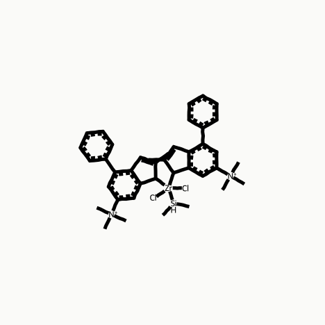 CC1=Cc2c(-c3ccccc3)cc([N+](C)(C)C)cc2[CH]1[Zr]([Cl])([Cl])([CH]1C(C)=Cc2c(-c3ccccc3)cc([N+](C)(C)C)cc21)[SiH](C)C